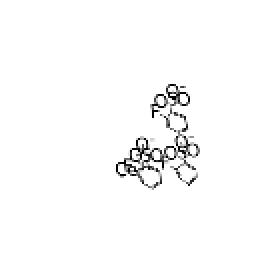 O=S(=O)([O-])c1ccccc1F.O=S(=O)([O-])c1ccccc1F.O=S(=O)([O-])c1ccccc1F.[Ce+3]